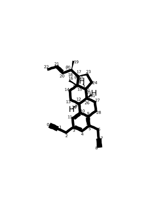 C#CCc1cc(CC#C)c2c(c1)[C@H]1CC[C@]3(C)[C@@H]([C@H](C)C=CC)CC[C@H]3[C@@H]1CC2